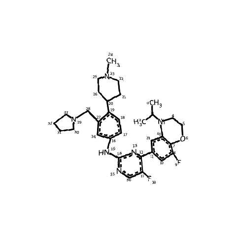 CC(C)N1CCOc2c(F)cc(-c3nc(Nc4ccc(C5CCN(C)CC5)c(CN5CCCC5)c4)ncc3F)cc21